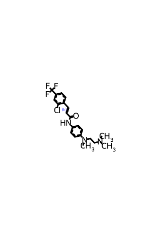 CN(C)CCN(C)c1ccc(NC(=O)/C=C/c2ccc(C(F)(F)F)cc2Cl)cc1